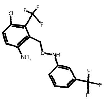 Nc1ccc(Cl)c(C(F)(F)F)c1CONc1cccc(C(F)(F)F)c1